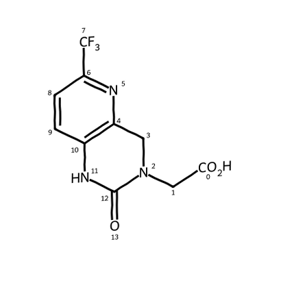 O=C(O)CN1Cc2nc(C(F)(F)F)ccc2NC1=O